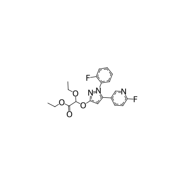 CCOC(=O)C(OCC)Oc1cc(-c2ccc(F)nc2)n(-c2ccccc2F)n1